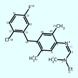 CCN(C)/C=N\c1cc(C)c(Cc2cc(F)ccc2Cl)cc1C